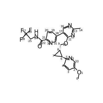 COc1ccc([C@H]2C[C@@H]2COc2nc(C)ncc2-c2ccc(C(=O)NCC(F)(F)F)nc2)nc1